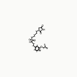 O=C1CN(CCCCCS(=O)(=O)NCCc2ccc(F)c(OCC(F)F)c2)C(=O)N1